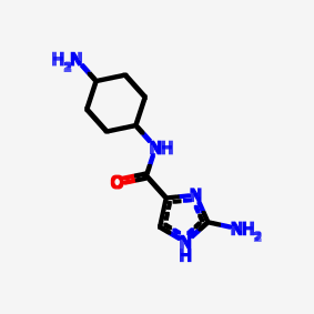 Nc1nc(C(=O)NC2CCC(N)CC2)c[nH]1